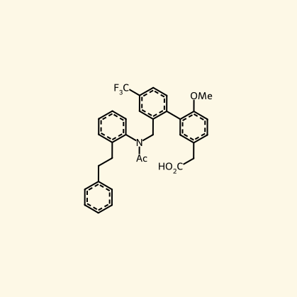 COc1ccc(CC(=O)O)cc1-c1ccc(C(F)(F)F)cc1CN(C(C)=O)c1ccccc1CCc1ccccc1